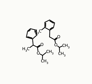 CC(C)OC(=O)C(C)c1ccccc1.Cc1ccccc1CC(=O)OC(C)C